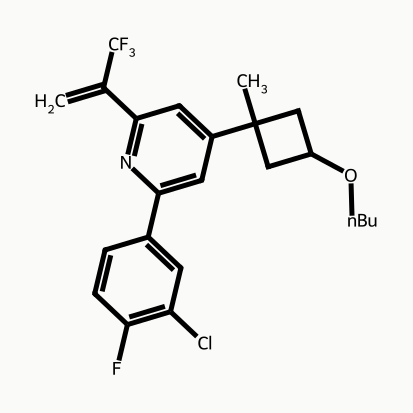 C=C(c1cc(C2(C)CC(OCCCC)C2)cc(-c2ccc(F)c(Cl)c2)n1)C(F)(F)F